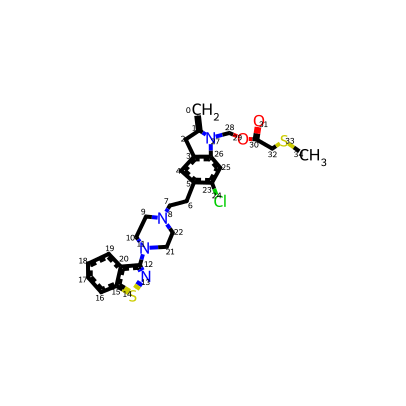 C=C1Cc2cc(CCN3CCN(c4nsc5ccccc45)CC3)c(Cl)cc2N1COC(=O)CSC